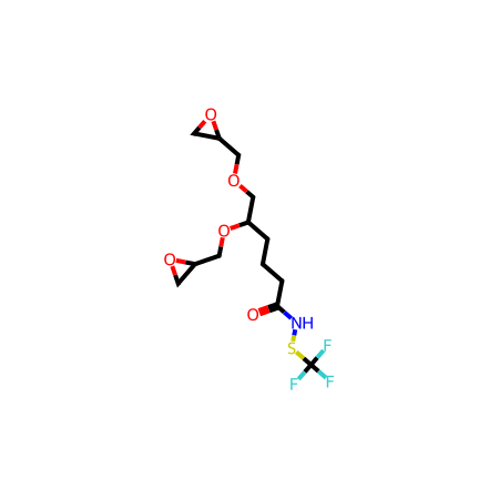 O=C(CCCC(COCC1CO1)OCC1CO1)NSC(F)(F)F